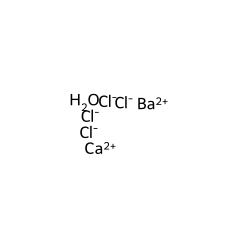 O.[Ba+2].[Ca+2].[Cl-].[Cl-].[Cl-].[Cl-]